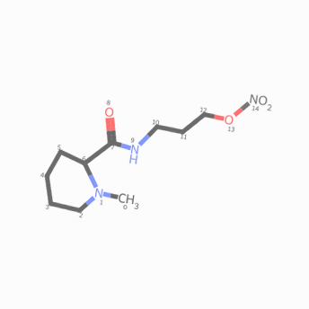 CN1CCCCC1C(=O)NCCCO[N+](=O)[O-]